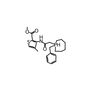 COC(=O)c1scc(C)c1NC(=O)C[PH]1(Cc2ccccc2)CCCCCC1